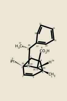 CC(C)[C@]12C=C[C@@](C)(CC1)[C@@H](C(=O)O)N2[C@H](C)c1ccccc1